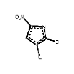 O=[N+]([O-])c1cn(Cl)c(Cl)n1